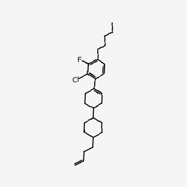 C=CCCC1CCC(C2CC=C(c3ccc(CCCCC)c(F)c3Cl)CC2)CC1